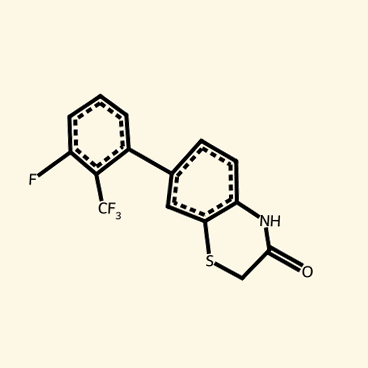 O=C1CSc2cc(-c3cccc(F)c3C(F)(F)F)ccc2N1